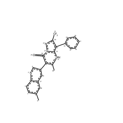 Cc1ccc2ncc(-c3c(C)[nH]c4c(-c5ccccc5)c(C(F)(F)F)nn4c3=O)cc2c1